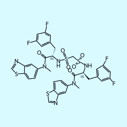 CN(C(=O)[C@H](Cc1cc(F)cc(F)c1)NS(=O)(=O)CS(=O)(=O)N[C@@H](Cc1cc(F)cc(F)c1)C(=O)N(C)c1ccc2scnc2c1)c1ccc2scnc2c1